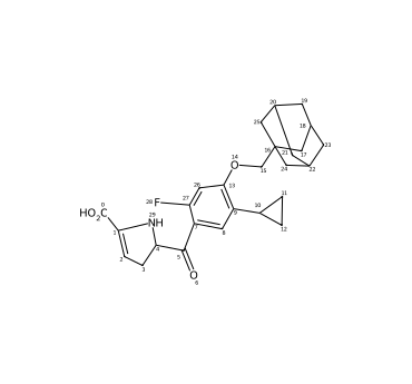 O=C(O)C1=CCC(C(=O)c2cc(C3CC3)c(OCC34CC5CC(CC(C5)C3)C4)cc2F)N1